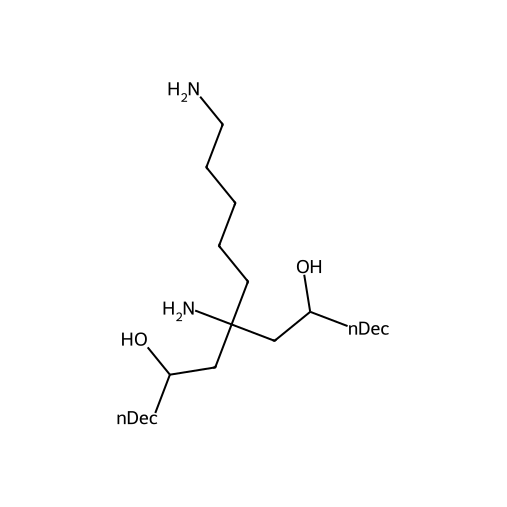 CCCCCCCCCCC(O)CC(N)(CCCCCN)CC(O)CCCCCCCCCC